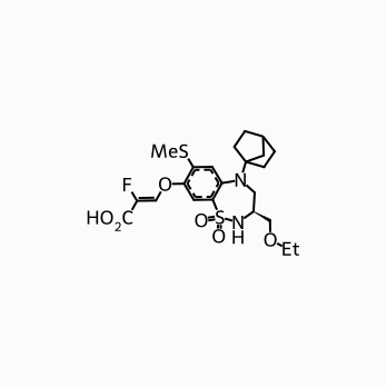 CCOC[C@@H]1CN(C23CCC(CC2)C3)c2cc(SC)c(O/C=C(\F)C(=O)O)cc2S(=O)(=O)N1